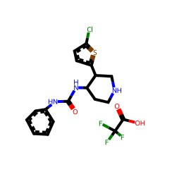 O=C(Nc1ccccc1)NC1CCNCC1c1ccc(Cl)s1.O=C(O)C(F)(F)F